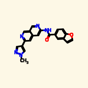 Cn1cc(-c2cc3cc(NC(=O)c4ccc5occc5c4)ncc3cn2)cn1